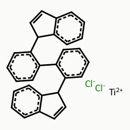 C1=CC(c2ccccc2-c2ccccc2C2C=Cc3ccccc32)c2ccccc21.[Cl-].[Cl-].[Ti+2]